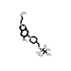 COCCn1cc2cc(N)c(N3CCC(CO[Si](C)(C)C(C)(C)C)CC3)cc2n1